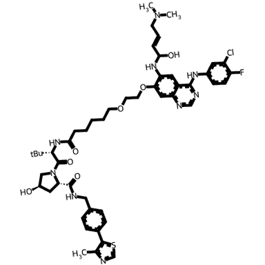 Cc1ncsc1-c1ccc(CNC(=O)[C@@H]2C[C@@H](O)CN2C(=O)[C@@H](NC(=O)CCCCCOCCOc2cc3ncnc(Nc4ccc(F)c(Cl)c4)c3cc2NC(O)/C=C/CN(C)C)C(C)(C)C)cc1